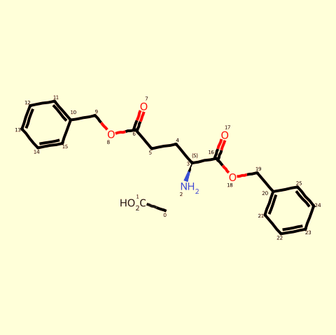 CC(=O)O.N[C@@H](CCC(=O)OCc1ccccc1)C(=O)OCc1ccccc1